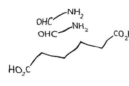 NC=O.NC=O.O=C(O)CCCCC(=O)O